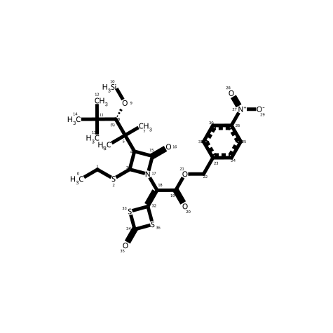 CCSC1C(C(C)(C)[C@@H](O[SiH3])C(C)(C)C)C(=O)N1C(C(=O)OCc1ccc([N+](=O)[O-])cc1)=C1SC(=O)S1